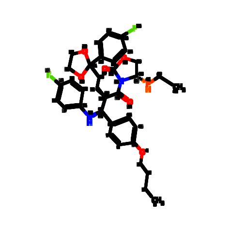 CCCCOc1ccc([C@@H](Nc2ccc(F)cc2)[C@@H](CCC2(c3ccc(F)cc3)OCCO2)C(=O)N2C(=O)OC[C@@H]2PCC)cc1